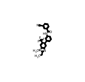 CCc1nc2cc(-c3cccc(NC(=O)c4cccc(C#N)c4)c3)c(C(F)(F)F)cc2n1C